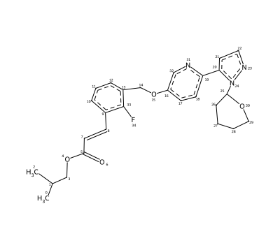 CC(C)COC(=O)/C=C/c1cccc(COc2ccc(-c3ccnn3C3CCCCO3)nc2)c1F